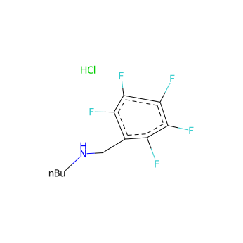 CCCCNCc1c(F)c(F)c(F)c(F)c1F.Cl